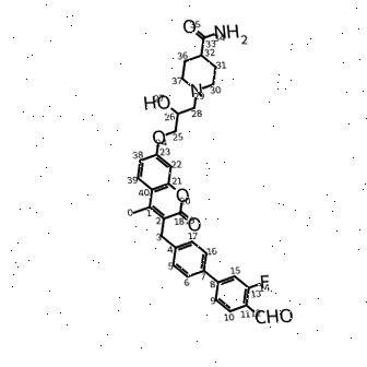 Cc1c(Cc2ccc(-c3ccc(C=O)c(F)c3)cc2)c(=O)oc2cc(OCC(O)CN3CCC(C(N)=O)CC3)ccc12